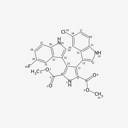 COC(=O)c1[nH]c(C(=O)OC)c(-c2c[nH]c3ccc(Cl)cc23)c1-c1c[nH]c2ccc(F)cc12